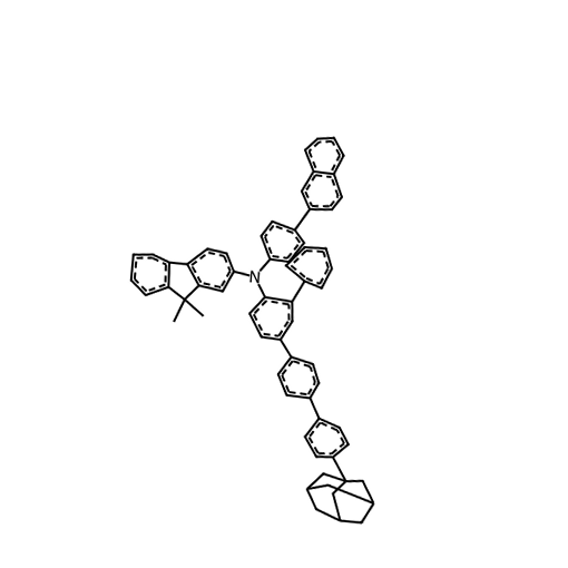 CC1(C)c2ccccc2-c2ccc(N(c3ccc(-c4ccc5ccccc5c4)cc3)c3ccc(-c4ccc(-c5ccc(C67CC8CC(CC(C8)C6)C7)cc5)cc4)cc3-c3ccccc3)cc21